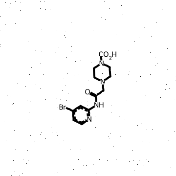 O=C(CN1CCN(C(=O)O)CC1)Nc1cc(Br)ccn1